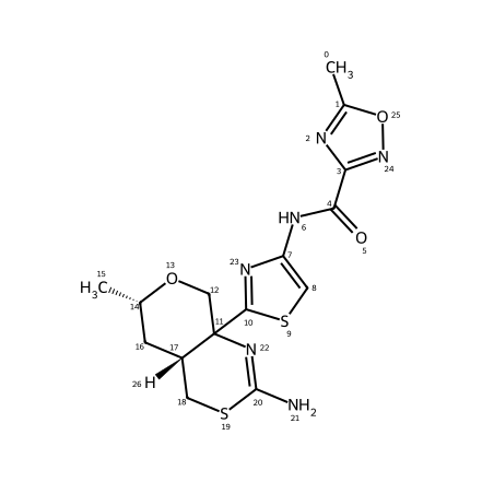 Cc1nc(C(=O)Nc2csc(C34CO[C@@H](C)C[C@H]3CSC(N)=N4)n2)no1